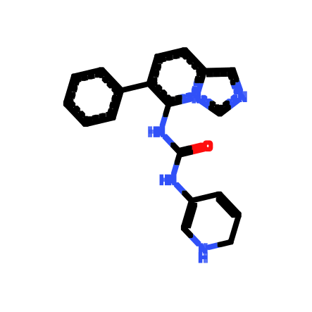 O=C(NC1=CNCC=C1)Nc1c(-c2ccccc2)ccc2cncn12